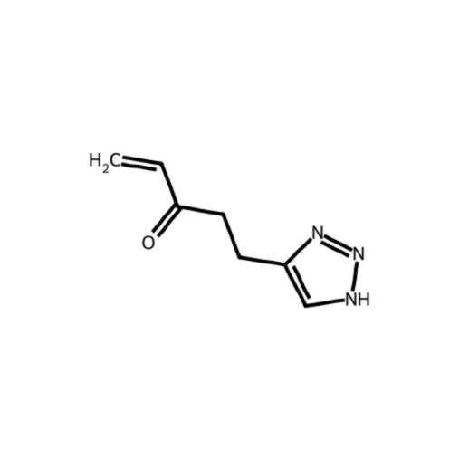 C=CC(=O)CCc1c[nH]nn1